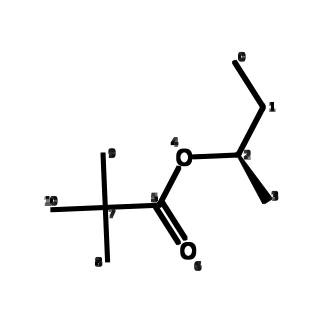 CC[C@@H](C)OC(=O)C(C)(C)C